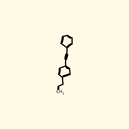 C=CCc1ccc(C#Cc2cc[c]cc2)cc1